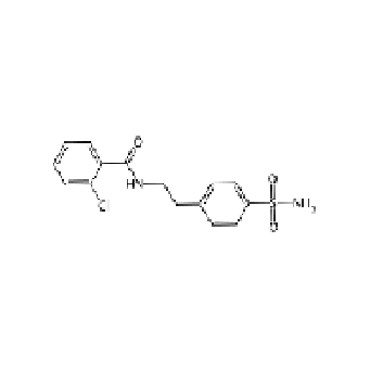 NS(=O)(=O)c1ccc(CCNC(=O)c2ccccc2Cl)cc1